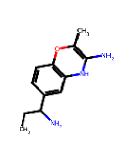 CCC(N)c1ccc2c(c1)NC(N)=C(C)O2